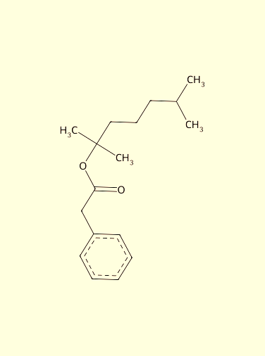 CC(C)CCCC(C)(C)OC(=O)Cc1ccccc1